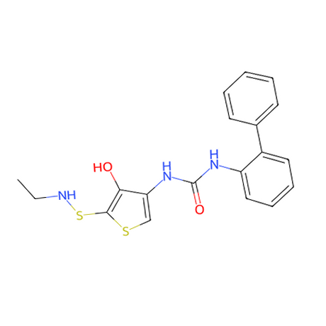 CCNSc1scc(NC(=O)Nc2ccccc2-c2ccccc2)c1O